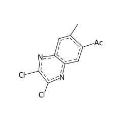 CC(=O)c1cc2nc(Cl)c(Cl)nc2cc1C